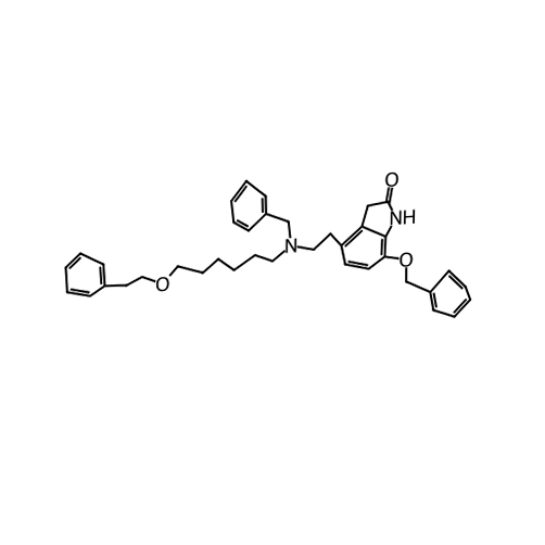 O=C1Cc2c(CCN(CCCCCCOCCc3ccccc3)Cc3ccccc3)ccc(OCc3ccccc3)c2N1